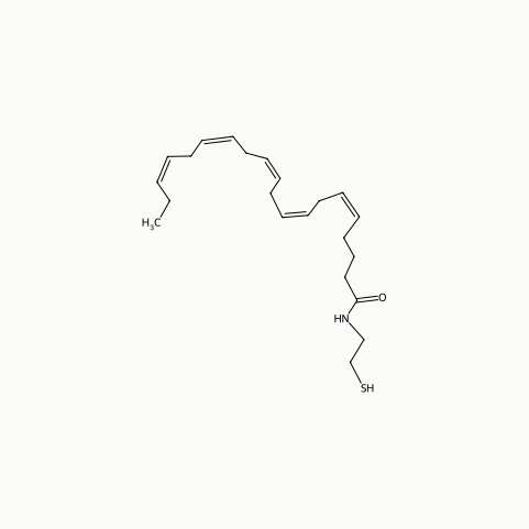 CC/C=C\C/C=C\C/C=C\C/C=C\C/C=C\CCCC(=O)NCCS